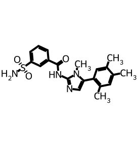 Cc1cc(C)c(-c2cnc(NC(=O)c3cccc(S(N)(=O)=O)c3)n2C)cc1C